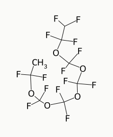 CC(F)(F)OC(F)(F)OC(F)(F)OC(F)(F)OC(F)(F)OC(F)(F)C(F)F